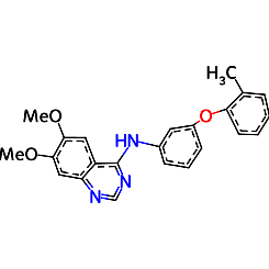 COc1cc2ncnc(Nc3cccc(Oc4ccccc4C)c3)c2cc1OC